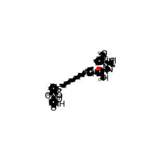 COc1cc(N2CCN(CCCCCCCCCCCSc3cccc4c3C(=O)N(C3CCC(=O)NC3=O)C4=O)CC2)ccc1Nc1ncc(Cl)c(Nc2ccccc2P(C)(C)=O)n1